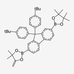 C=C1OB(c2ccc3c(c2)C(c2ccc(C(C)(C)C)cc2)(c2ccc(C(C)(C)C)cc2)c2cc(B4OC(C)(C)C(C)(C)O4)ccc2-3)OC1(C)C